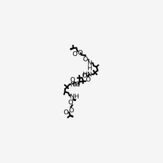 C=C(C)CC(=O)OCCOCNCCC(C)CC(C)(C)CNC(=O)OC1C(C)(C)C(OC(=O)NCC(C)(C)CC(C)CCNC(=C)OCCOC(=O)C(=C)C)C1(C)C